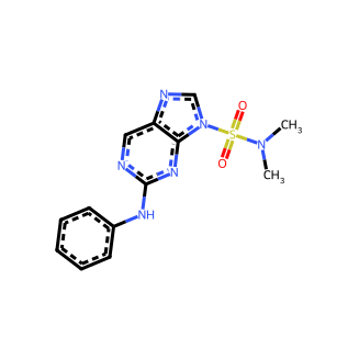 CN(C)S(=O)(=O)n1cnc2cnc(Nc3ccccc3)nc21